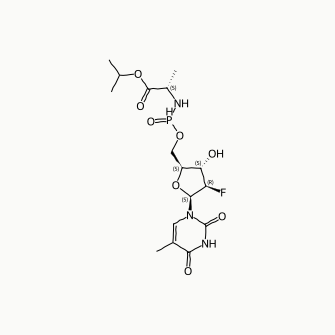 Cc1cn([C@H]2O[C@@H](CO[PH](=O)N[C@@H](C)C(=O)OC(C)C)[C@H](O)[C@H]2F)c(=O)[nH]c1=O